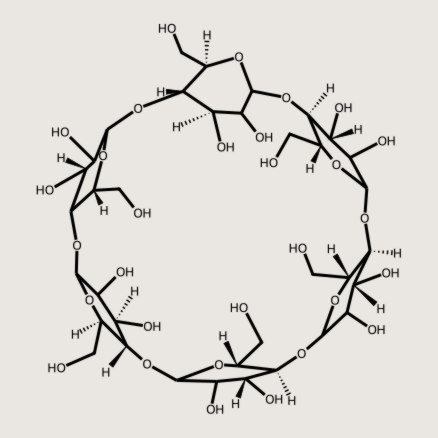 OC[C@H]1OC2O[C@H]3[C@H](O)C(O)C(O[C@H]4[C@H](O)C(O)C(O[C@H]5[C@H](O)C(O)C(O[C@H]6[C@H](O)C(O)C(O[C@H]7[C@H](O)C(O)C(OC1[C@H](O)C2O)O[C@@H]7CO)O[C@@H]6CO)O[C@@H]5CO)O[C@@H]4CO)O[C@@H]3CO